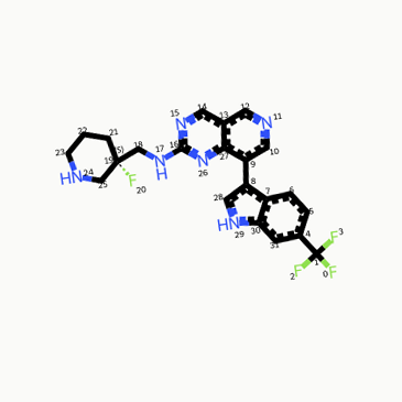 FC(F)(F)c1ccc2c(-c3cncc4cnc(NC[C@]5(F)CCCNC5)nc34)c[nH]c2c1